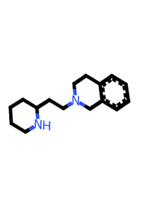 c1ccc2c(c1)CCN(CCC1CCCCN1)C2